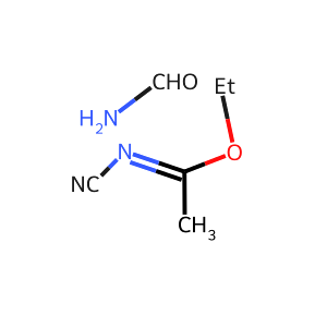 CCOC(C)=NC#N.NC=O